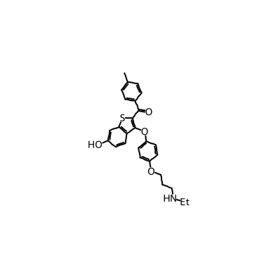 CCNCCCOc1ccc(Oc2c(C(=O)c3ccc(C)cc3)sc3cc(O)ccc23)cc1